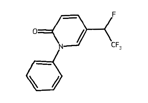 O=c1ccc(C(F)C(F)(F)F)cn1-c1ccccc1